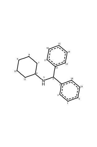 c1ccc(C(NC2CCCCC2)c2ccccc2)cc1